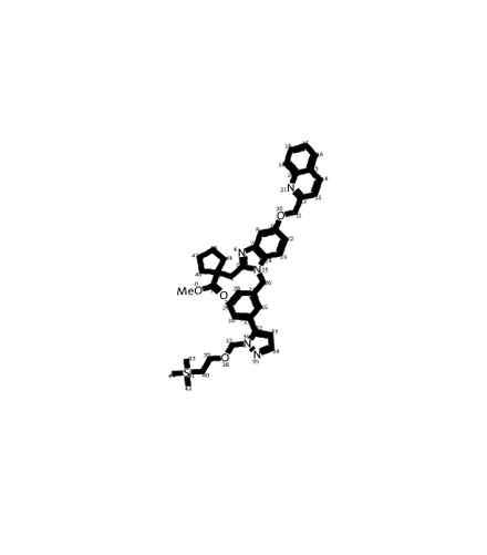 COC(=O)C1(Cc2nc3cc(OCc4ccc5ccccc5n4)ccc3n2Cc2cccc(-c3ccnn3COCC[Si](C)(C)C)c2)CCCC1